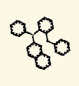 c1ccc(Cc2ccccc2N(c2ccccc2)c2ccc3ccccc3c2)cc1